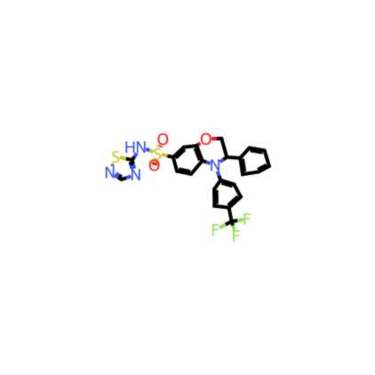 O=S(=O)(Nc1ncns1)c1ccc2c(c1)OCC(c1ccccc1)N2c1ccc(C(F)(F)F)cc1